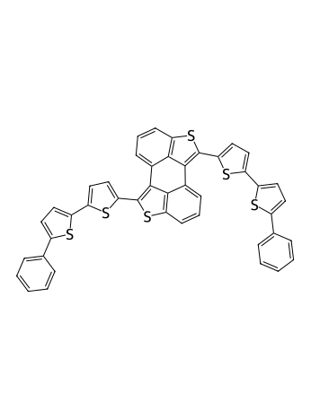 c1ccc(-c2ccc(-c3ccc(-c4sc5cccc6c7c(-c8ccc(-c9ccc(-c%10ccccc%10)s9)s8)sc8cccc(c4c56)c87)s3)s2)cc1